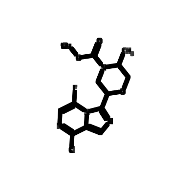 CC1COC(c2ncc3c(Cl)ncc(F)n23)CN1C(=O)OC(C)(C)C